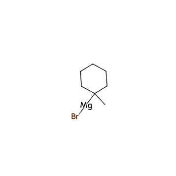 C[C]1([Mg][Br])CCCCC1